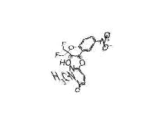 Cn1nc(O[C@@H]2c3cc([N+](=O)[O-])ccc3OC(CF)(CF)[C@H]2O)ccc1=O